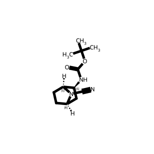 CC(C)(C)OC(=O)N[C@H]1C[C@H]2CC[C@@H]1N2C#N